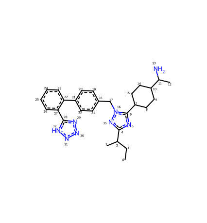 CCC(C)c1nc(C2CCC(C(C)N)CC2)n(Cc2ccc(-c3ccccc3-c3nnn[nH]3)cc2)n1